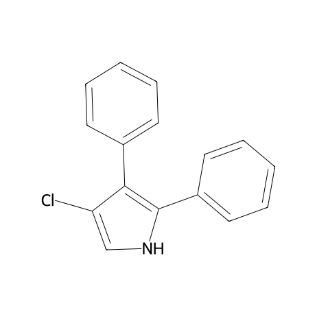 Clc1c[nH]c(-c2ccccc2)c1-c1ccccc1